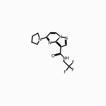 O=C(NCC(F)(F)F)c1cnn2ccc(N3CCCC3)nc12